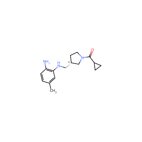 Cc1ccc(N)c(NC[C@@H]2CCN(C(=O)C3CC3)C2)c1